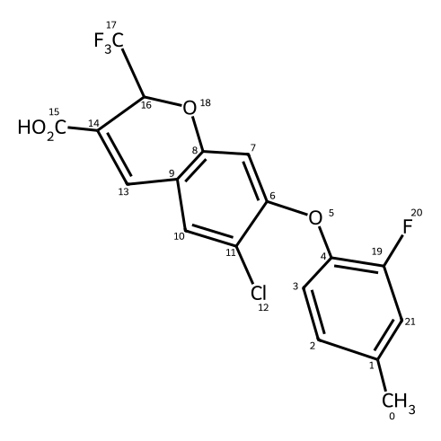 Cc1ccc(Oc2cc3c(cc2Cl)C=C(C(=O)O)C(C(F)(F)F)O3)c(F)c1